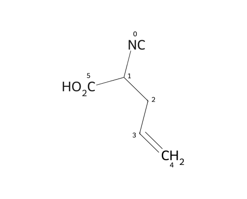 [C-]#[N+]C(CC=C)C(=O)O